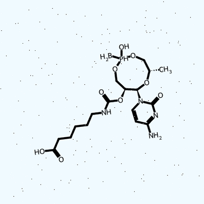 B[PH]1(O)OC[C@H](OC(=O)NCCCCCC(=O)O)[C@H](n2ccc(N)nc2=O)O[C@@H](C)CO1